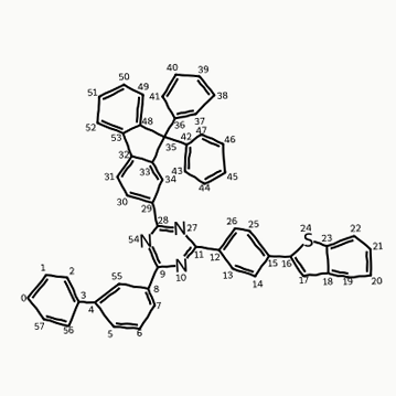 c1ccc(-c2cccc(-c3nc(-c4ccc(-c5cc6ccccc6s5)cc4)nc(-c4ccc5c(c4)C(c4ccccc4)(c4ccccc4)c4ccccc4-5)n3)c2)cc1